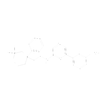 COc1cccc(-c2cncc(NCCC3(c4ccccc4)CCOC(C)(C)C3)n2)c1